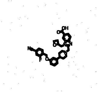 N#Cc1ccc(COc2cccc(C3CCN(Cc4nc5ccc(C(=O)O)cc5n4CC4CCO4)CC3)c2)c(F)c1